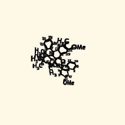 COc1ccc(C2(c3ccccc3)C=Cc3c4c(c5cc(C)c(OC)cc5c3O2)-c2ccccc2C(C)(C)C42CC(C)(C)CC(C)(C)C2)cc1